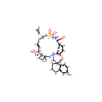 O=C1NS(=O)(=O)C[C@@H](C2CC2)C/C=C/[C@H](O)[C@@H]2CC[C@H]2CN2C[C@@]3(CCCc4cc(Cl)ccc43)COc3ccc1cc32